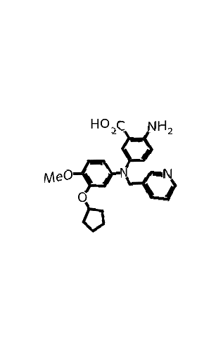 COc1ccc(N(Cc2cccnc2)c2ccc(N)c(C(=O)O)c2)cc1OC1CCCC1